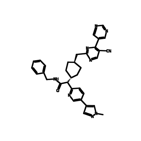 Cn1cc(-c2ccc(C(C(=O)NCc3ccccc3)[C@H]3CC[C@H](Cc4ncc(C#N)c(-c5cncnc5)n4)CC3)nc2)cn1